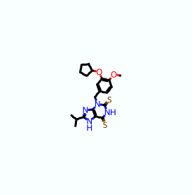 COc1ccc(Cn2c(=S)[nH]c(=S)c3[nH]c(C(C)C)nc32)cc1OC1CCCC1